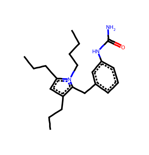 CCCCn1c(CCC)cc(CCC)c1Cc1cccc(NC(N)=O)c1